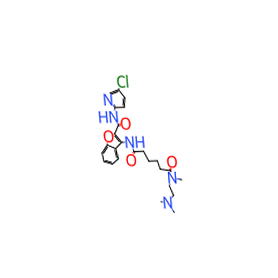 CN(C)CCN(C)C(=O)CCCCC(=O)Nc1c(C(=O)Nc2ccc(Cl)cn2)oc2ccccc12